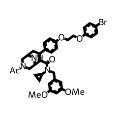 COc1cc(CN(C(=O)C2=C(c3ccc(OCCOc4ccc(Br)cc4)cc3)CC3CN(C(C)=O)CC2N3)C2CC2)cc(OC)c1